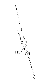 CCCCCCCCCCCCCCCCCCCCCCNCCCCCCCCCCCCCCCCCCCCCC.CCCCCCCCCCCCN(CCO)CCO